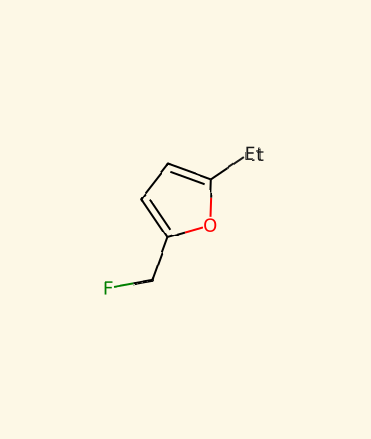 CCc1ccc(CF)o1